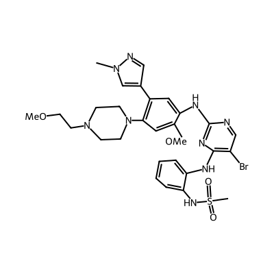 COCCN1CCN(c2cc(OC)c(Nc3ncc(Br)c(Nc4ccccc4NS(C)(=O)=O)n3)cc2-c2cnn(C)c2)CC1